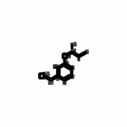 CC[C@@H](C)Oc1cccc(CCl)c1